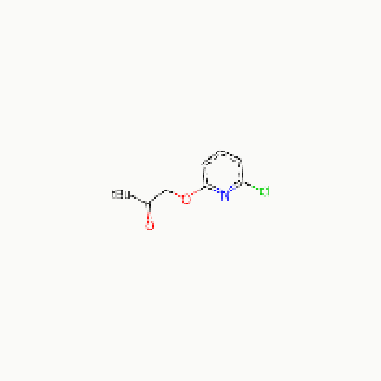 CC(C)(C)C(=O)COc1cccc(Cl)n1